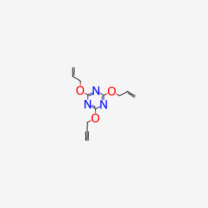 C#CCOc1nc(OCC=C)nc(OCC=C)n1